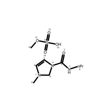 CCCNC(=O)N1C=CN(C)C1.COS(=O)(=O)O